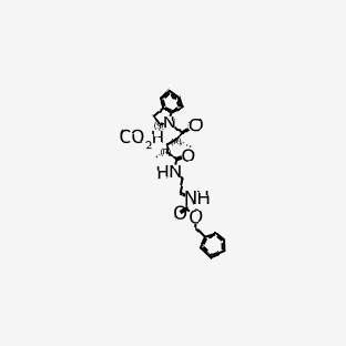 C[C@H](C[C@@H](C)C(=O)N1c2ccccc2C[C@H]1C(=O)O)C(=O)NCCNC(=O)OCc1ccccc1